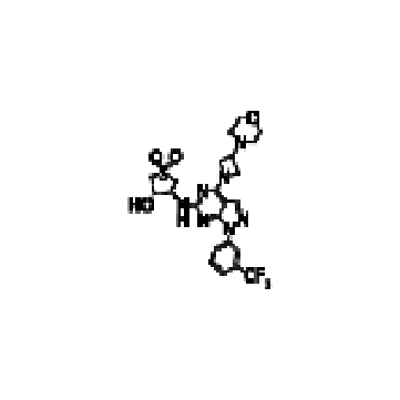 O=S1(=O)C[C@@H](O)[C@H](Nc2nc(N3CC(N4CCOCC4)C3)c3cnn(-c4cccc(C(F)(F)F)c4)c3n2)C1